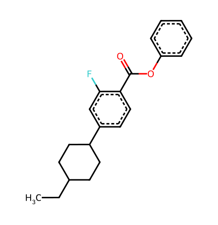 CCC1CCC(c2ccc(C(=O)Oc3ccccc3)c(F)c2)CC1